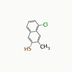 Cc1cc2c(Cl)cccc2cc1S